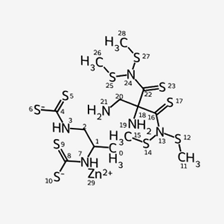 CC(CNC(=S)[S-])NC(=S)[S-].CSN(SC)C(=S)C(N)(CN)C(=S)N(SC)SC.[Zn+2]